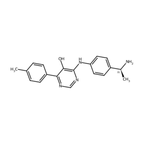 Cc1ccc(-c2ncnc(Nc3ccc([C@H](C)N)cc3)c2O)cc1